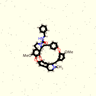 COc1ccc2cc1Oc1ccc(cc1)CC1c3c(cc(OC)c4c3Oc3cc5c(cc3O4)CCN(C)C5C2)CCN1C(=O)NCc1ccccc1